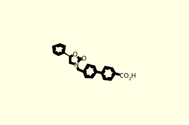 O=C(O)c1ccc(-c2ccc(CN3C[C@@H](c4ccccc4)OC3=O)cc2)cc1